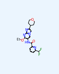 CCOc1nc2nc(C3CCOCC3)cn2cc1NC(=O)c1cccc(C(F)F)n1